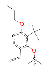 C=Cc1ccc(OCCC)c(C(C)(C)C)c1O[SiH](C)C